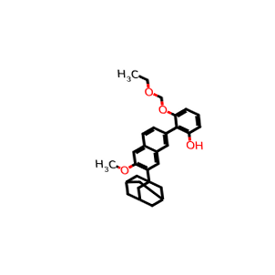 CCOCOc1cccc(O)c1-c1ccc2cc(OC)c(C34CC5CC(CC(C5)C3)C4)cc2c1